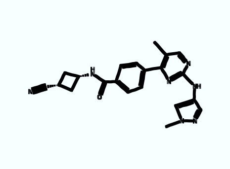 Cc1cnc(Nc2cnn(C)c2)nc1-c1ccc(C(=O)N[C@H]2C[C@@H](C#N)C2)cc1